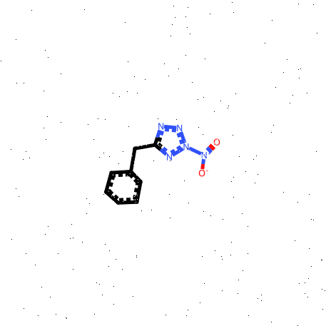 O=[N+]([O-])n1nnc(Cc2ccccc2)n1